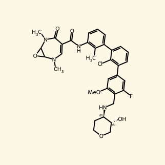 COc1cc(-c2cccc(-c3cccc(NC(=O)C4=CN(C)C5OC5N(C)C4=O)c3C)c2Cl)cc(F)c1CN[C@@H]1CCOC[C@H]1O